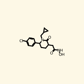 O=C(CC1CCC(c2ccc(Cl)cc2)N(CC2CC2)C1=O)NO